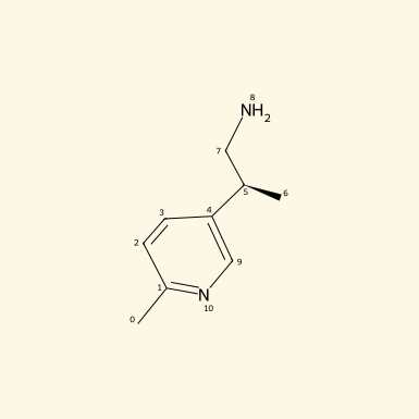 Cc1ccc([C@H](C)CN)cn1